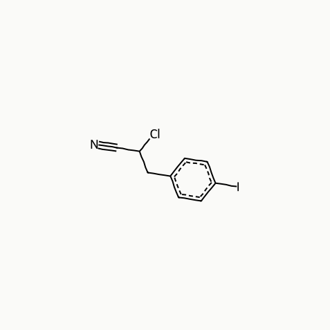 N#CC(Cl)Cc1ccc(I)cc1